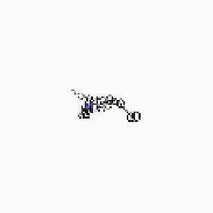 C=CC(=O)OCCCCCCOc1ccc(OC(=O)C2CCC(COc3ccc(C4CCC(CCC)CC4)cc3/C=N/N(COCCOC)c3nc4ccccc4s3)CC2)cc1